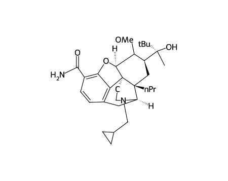 CCC[C@]12C[C@H]([C@](C)(O)C(C)(C)C)C(OC)[C@@H]3Oc4c(C(N)=O)ccc5c4[C@@]31CCN(CC1CC1)[C@@H]2C5